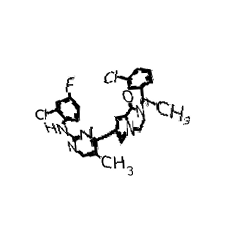 Cc1cnc(Nc2ccc(F)cc2Cl)nc1-c1cc2n(c1)CCN([C@H](C)c1cccc(Cl)c1)C2=O